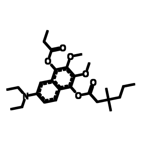 CCCC(C)(C)CC(=O)Oc1c(OC)c(OC)c(OC(=O)CC)c2cc(N(CC)CC)ccc12